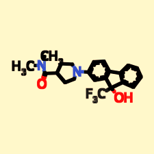 CN(C)C(=O)C1CCN(c2ccc3c(c2)C(O)(C(F)(F)F)c2ccccc2-3)CC1